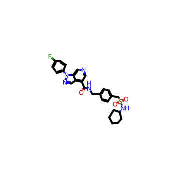 O=C(NCc1ccc(CS(=O)(=O)NC2CCCCC2)cc1)c1cncc2c1cnn2-c1ccc(F)cc1